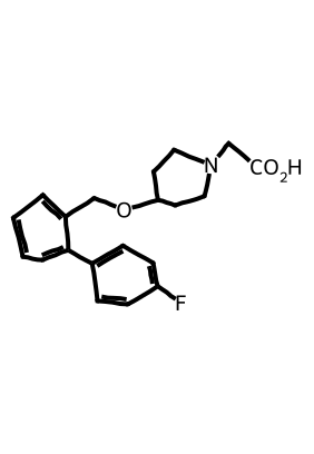 O=C(O)CN1CCC(OCc2ccccc2-c2ccc(F)cc2)CC1